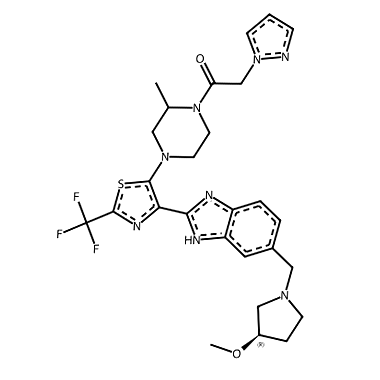 CO[C@@H]1CCN(Cc2ccc3nc(-c4nc(C(F)(F)F)sc4N4CCN(C(=O)Cn5cccn5)C(C)C4)[nH]c3c2)C1